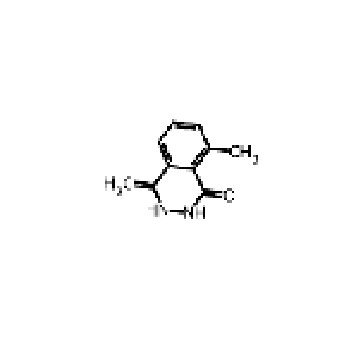 C=C1NNC(=O)c2c(C)cccc21